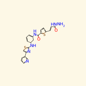 NNC(=O)/C=C/c1ccc(C(=O)NC2=CC=CC(Nc3nc(-c4cccnc4)cs3)C2)s1